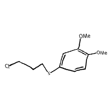 COc1ccc(SCCCCl)cc1OC